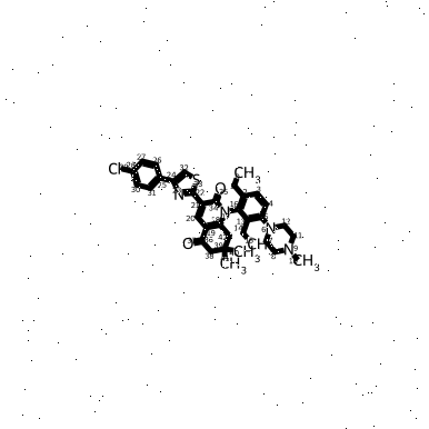 CCc1ccc(N2CCN(C)CC2)c(CC)c1-n1c2c(cc(-c3nc(-c4ccc(Cl)cc4)cs3)c1=O)C(=O)CC(C)(C)C2